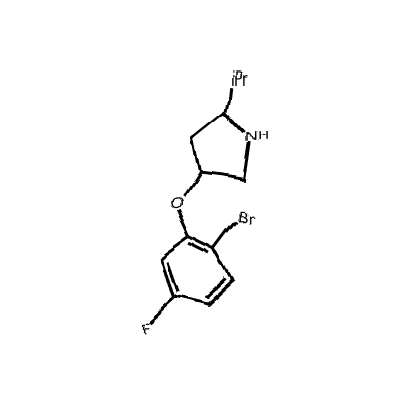 CC(C)C1CC(Oc2cc(F)ccc2Br)CN1